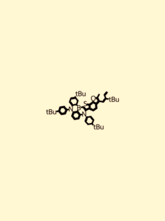 C=C/C(=C\c1c(C)oc2c1ccc1c3c(sc12)B1c2c(cccc2N3C2=CCC(C(C)(C)C)C=C2)N(c2ccc(C(C)(C)C)cc2)C2=CC=C(C(C)(C)C)CC12)C(C)(C)C